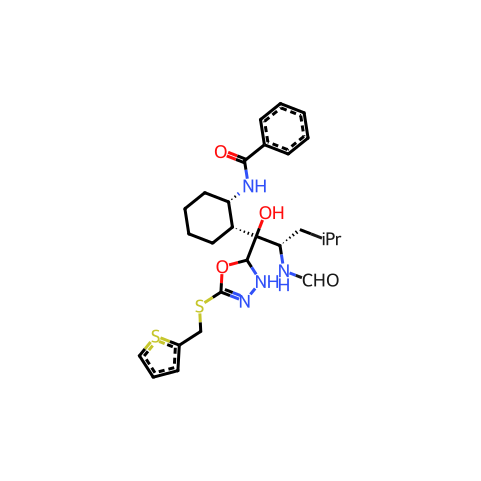 CC(C)C[C@H](NC=O)C(O)(C1NN=C(SCc2cccs2)O1)[C@@H]1CCCC[C@@H]1NC(=O)c1ccccc1